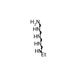 CCNCNCNCNCN